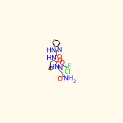 NC(=O)CCN(NC(=O)C(CC12CC(C1)C2)NC(=O)c1nc2ccccc2[nH]1)C(=O)C(F)Cl